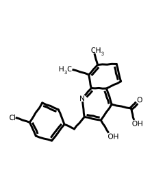 Cc1ccc2c(C(=O)O)c(O)c(Cc3ccc(Cl)cc3)nc2c1C